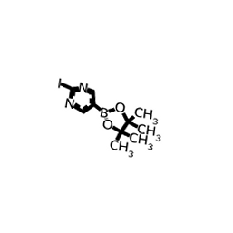 CC1(C)OB(c2cnc(I)nc2)OC1(C)C